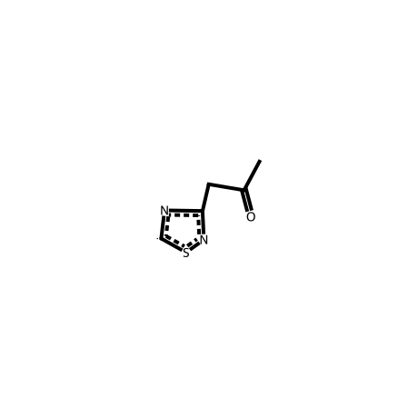 CC(=O)Cc1n[c]sn1